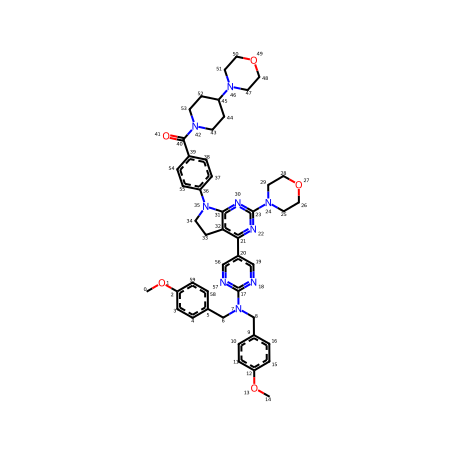 COc1ccc(CN(Cc2ccc(OC)cc2)c2ncc(-c3nc(N4CCOCC4)nc4c3CCN4c3ccc(C(=O)N4CCC(N5CCOCC5)CC4)cc3)cn2)cc1